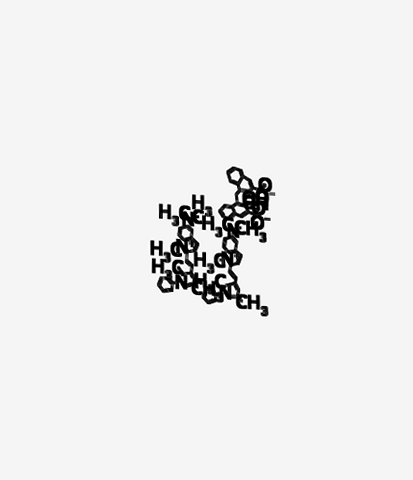 CC1=CN(c2ccccc2)C(C)C(/C=C/c2ccc3cc(N(C)C)ccc3[n+]2C)=C1.CC1=CN(c2ccccc2)C(C)C(/C=C/c2ccc3cc(N(C)C)ccc3[n+]2C)=C1.O=C([O-])c1cc2ccccc2c(Cc2c(O)c(C(=O)[O-])cc3ccccc23)c1O